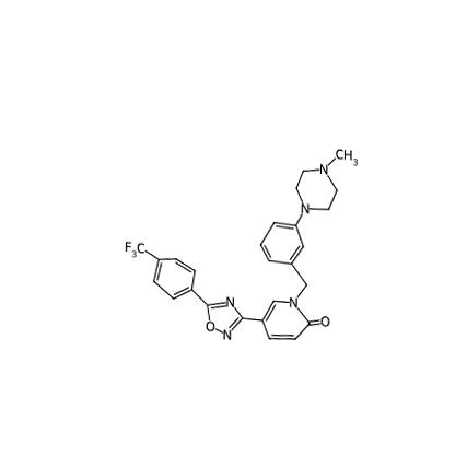 CN1CCN(c2cccc(Cn3cc(-c4noc(-c5ccc(C(F)(F)F)cc5)n4)ccc3=O)c2)CC1